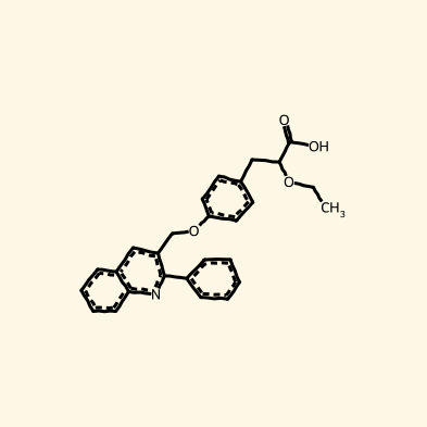 CCOC(Cc1ccc(OCc2cc3ccccc3nc2-c2ccccc2)cc1)C(=O)O